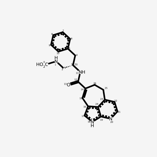 O=C(O)NC[C@H](Cc1ccccc1)NC(=O)C1=Cc2c[nH]c3nccc(c23)CC1